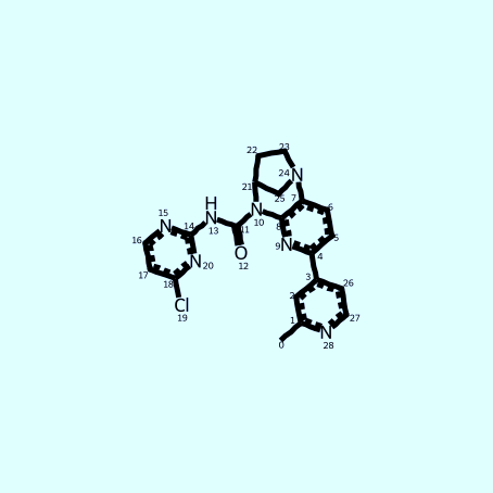 Cc1cc(-c2ccc3c(n2)N(C(=O)Nc2nccc(Cl)n2)C2CCN3C2)ccn1